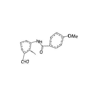 COc1ccc(C(=O)Nc2cccc(C=O)c2C)cc1